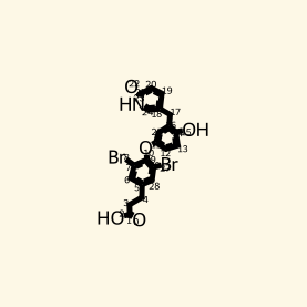 O=C(O)CCc1cc(Br)c(Oc2ccc(O)c(Cc3ccc(=O)[nH]c3)c2)c(Br)c1